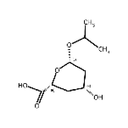 CC(C)O[C@@H]1C[C@H](O)C[C@H](C(=O)O)O1